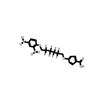 O=C(O)c1ccc(OCC(F)(F)C(F)(F)C(F)(F)C(F)(F)COc2ccc([N+](=O)[O-])cc2[N+](=O)[O-])cc1